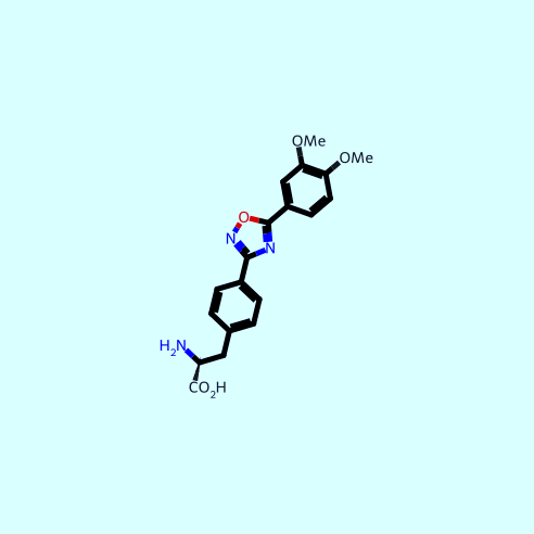 COc1ccc(-c2nc(-c3ccc(C[C@H](N)C(=O)O)cc3)no2)cc1OC